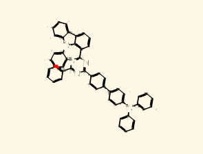 c1ccc(-c2nc(-c3ccc(-c4ccc(N(c5ccccc5)c5ccccc5)cc4)cc3)nc(-c3cccc4c5ccccc5n(-c5ccccc5)c34)n2)cc1